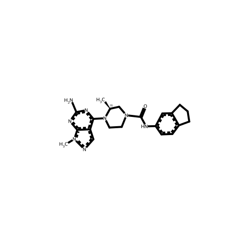 C[C@H]1CN(C(=O)Nc2ccc3c(c2)CCC3)CCN1c1nc(N)nc2c1cnn2C